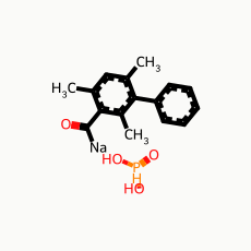 Cc1cc(C)c(-c2ccccc2)c(C)c1[C](=O)[Na].O=[PH](O)O